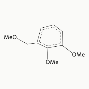 COCc1cccc(OC)c1OC